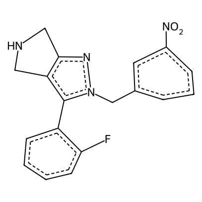 O=[N+]([O-])c1cccc(Cn2nc3c(c2-c2ccccc2F)CNC3)c1